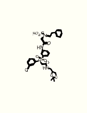 CC1(C)OCC(CNC(=O)CN(c2cccc(Cl)c2)S(=O)(=O)c2cccc(NC(=O)CN(CCc3ccccc3)C(=O)O)c2)O1